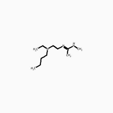 CCCCN(CC)CC/N=C(\C)NC